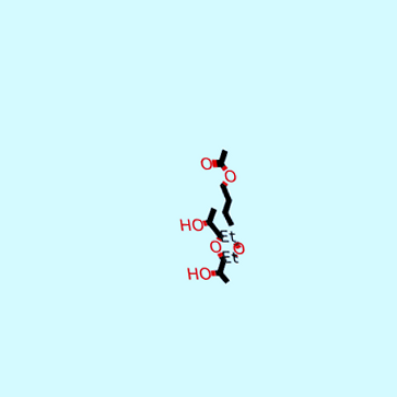 CC(O)COCC(C)O.CCCCOC(C)=O.CCOCC